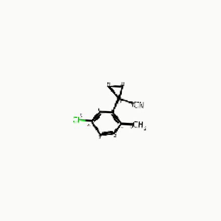 Cc1ccc(Cl)cc1C1(C#N)CC1